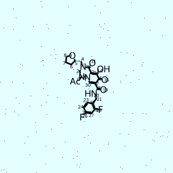 CC(=O)N1CN(C[C@@H]2CCCO2)C(=O)c2c(O)c(=O)c(C(=O)NCc3ccc(F)cc3F)cn21